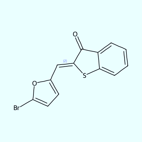 O=C1/C(=C/c2ccc(Br)o2)Sc2ccccc21